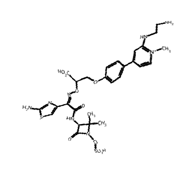 C[n+]1ccc(-c2ccc(OCC(O/N=C(\C(=O)N[C@@H]3C(=O)N(OS(=O)(=O)O)C3(C)C)c3csc(N)n3)C(=O)O)cc2)cc1NCCN